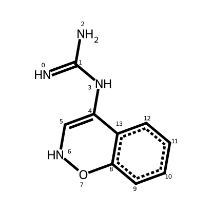 N=C(N)NC1=CNOc2ccccc21